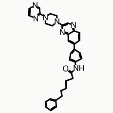 O=C(CCCCCc1ccccc1)Nc1ccc(-c2ccc3ncc(N4CCN(c5cnccn5)CC4)nc3c2)cc1